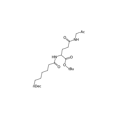 CCCCCCCCCCCCCCCC(=O)NC(CCC(=O)NCC(C)=O)C(=O)OC(C)(C)C